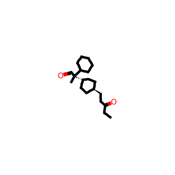 CCC(=O)CC[C@H]1CC[C@H](C(C)(C=O)C2CCCCC2)CC1